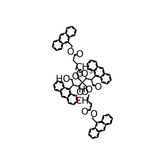 CCOC(C(C(=O)O)c1c2ccccc2cc2ccccc12)C(COCCCC(=O)OCc1c2ccccc2cc2ccccc12)(COCCCC(=O)OCc1c2ccccc2cc2ccccc12)C(OCC)C(C(=O)O)c1c2ccccc2cc2ccccc12